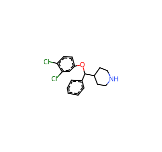 Clc1ccc(OC(c2ccccc2)C2CCNCC2)cc1Cl